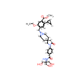 CCOc1cc(C(=O)OC)c(C2CC2)cc1CN1CCC2(CC1)CC(=O)N(c1ccc(C(=O)NC(CO)(CO)CO)cc1)C2